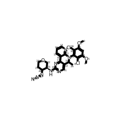 COc1cc(OC)c(Cl)c(N2c3ncccc3-c3nc(N[C@@H]4COCCC4N=[N+]=[N-])ncc3C2C)c1Cl